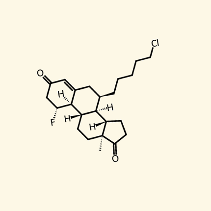 C[C@]12CC[C@@H]3[C@@H]4C(=CC(=O)C[C@H]4F)C[C@@H](CCCCCCl)[C@H]3[C@@H]1CCC2=O